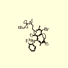 Cc1c(Nc2ccccc2F)c2c(=O)n(CCN(C)C(=O)OC(C)(C)C)c(C)c(Br)c2oc1=O